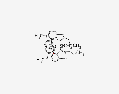 CCCC1=C([Si](C)(C)C2=C(CCC)[CH]c3cccc(-c4ccc(CC)cc4)c32)c2c(cccc2-c2ccc(CC)cc2)[CH]1